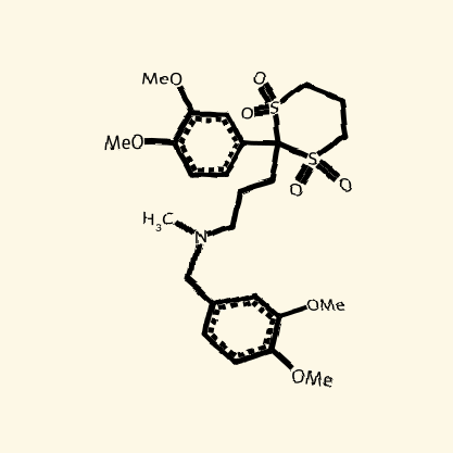 COc1ccc(CN(C)CCCC2(c3ccc(OC)c(OC)c3)S(=O)(=O)CCCS2(=O)=O)cc1OC